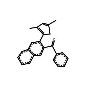 CC1=CC(C)=C(c2cc3ccccc3cc2C(=O)c2ccccc2)C1